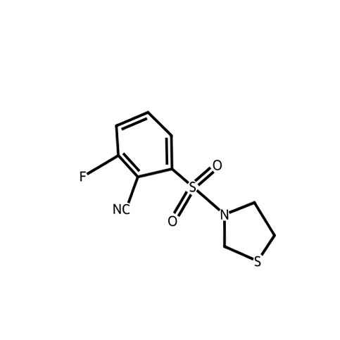 N#Cc1c(F)cccc1S(=O)(=O)N1CCSC1